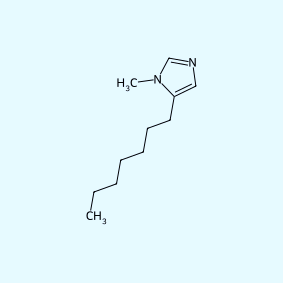 CCCCCCCc1cncn1C